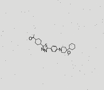 COC1(C2CCCCC2)CCN(c2ccc(-c3nnc(C4CCC(C(C)=O)CC4)s3)cc2)CC1